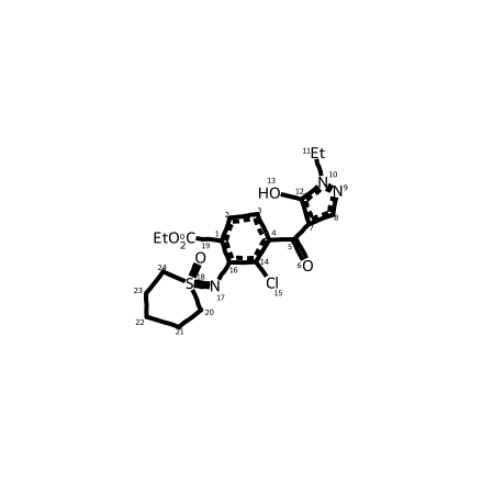 CCOC(=O)c1ccc(C(=O)c2cnn(CC)c2O)c(Cl)c1N=S1(=O)CCCCC1